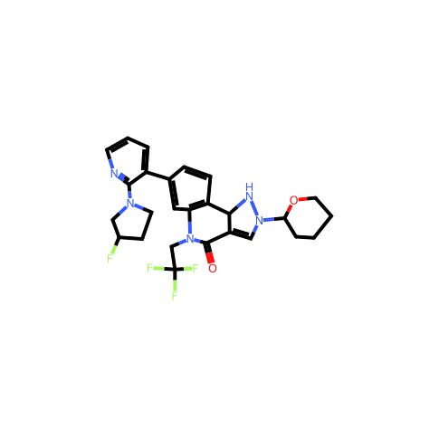 O=C1C2=CN(C3CCCCO3)NC2c2ccc(-c3cccnc3N3CCC(F)C3)cc2N1CC(F)(F)F